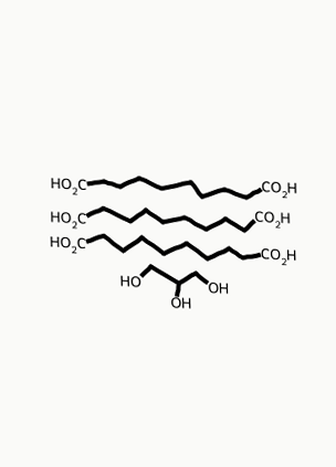 O=C(O)CCCCCCCCC(=O)O.O=C(O)CCCCCCCCC(=O)O.O=C(O)CCCCCCCCC(=O)O.OCC(O)CO